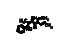 CCC[C@H](CN)C(=O)N(C)[C@H](C)[C@H](O)c1ccccc1